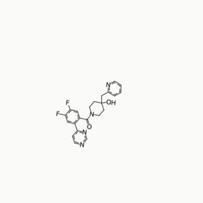 O=C(c1cc(F)c(F)cc1-c1ccncn1)N1CCC(O)(Cc2ccccn2)CC1